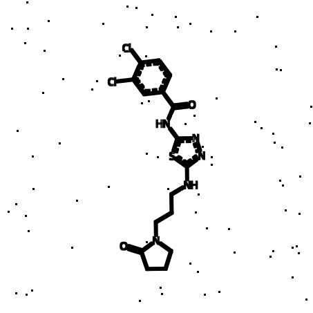 O=C(Nc1nnc(NCCCN2CCCC2=O)s1)c1ccc(Cl)c(Cl)c1